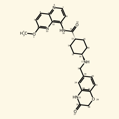 COc1ccc2nccc(NC(=O)[C@H]3CC[C@H](NCc4ccc5c(c4)NC(=O)CO5)CC3)c2n1